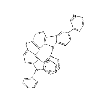 c1ccc(-n2c3ccccc3c3c4c(ccc32)sc2ccc3c5cc(-c6cccnc6)ccc5n(-c5ccccc5)c3c24)cc1